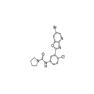 O=C(Nc1ccc(Cl)c(-c2nc3ncc(Br)cc3o2)c1)N1CCCC1